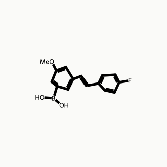 COc1cc(/C=C/c2ccc(F)cc2)cc(B(O)O)c1